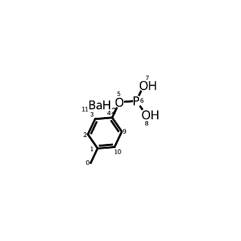 Cc1ccc(OP(O)O)cc1.[BaH2]